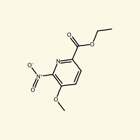 CCOC(=O)c1ccc(OC)c([N+](=O)[O-])n1